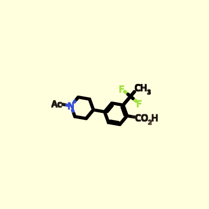 CC(=O)N1CCC(c2ccc(C(=O)O)c(C(C)(F)F)c2)CC1